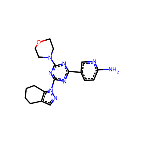 Nc1ccc(-c2nc(N3CCOCC3)nc(-n3ncc4c3CCCC4)n2)cn1